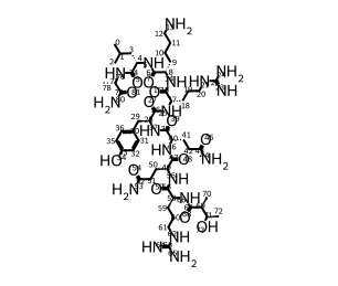 CC(C)C[C@H](NC(=O)[C@H](CCCCN)NC(=O)[C@H](CCCNC(=N)N)NC(=O)[C@H](Cc1ccc(O)cc1)NC(=O)[C@H](CCC(N)=O)NC(=O)[C@H](CCC(N)=O)NC(=O)[C@H](CCCNC(=N)N)NC(=O)[C@@H](C)[C@@H](C)O)C(=O)N[C@@H](C)C(N)=O